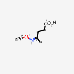 CCCON=C(C)CCC(=O)O